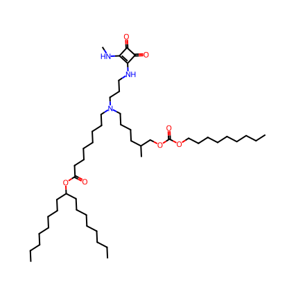 CCCCCCCCCOC(=O)OCC(C)CCCCN(CCCCCCCC(=O)OC(CCCCCCCC)CCCCCCCC)CCCNc1c(NC)c(=O)c1=O